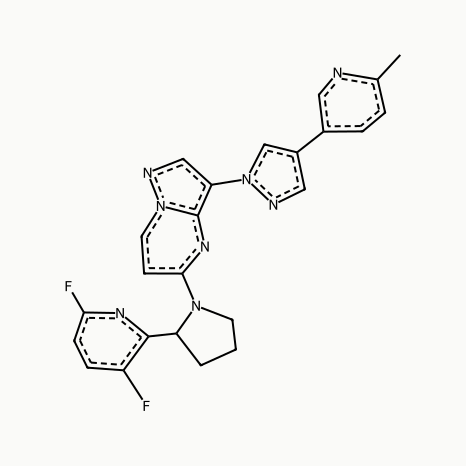 Cc1ccc(-c2cnn(-c3cnn4ccc(N5CCCC5c5nc(F)ccc5F)nc34)c2)cn1